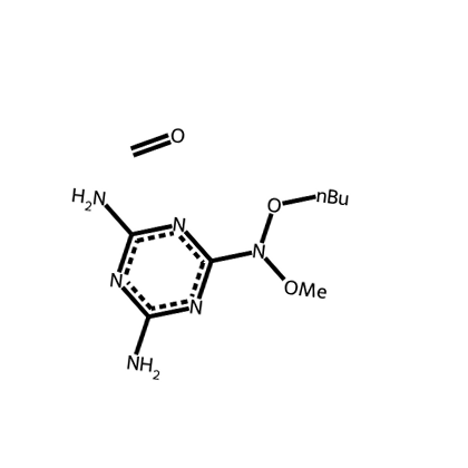 C=O.CCCCON(OC)c1nc(N)nc(N)n1